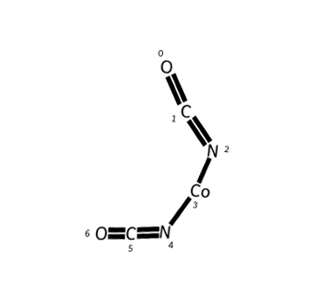 O=C=[N][Co][N]=C=O